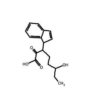 CCC(O)CCC(C(=O)C(=O)O)C1C=Cc2ccccc21